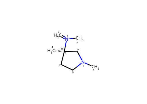 C=[N+](C)[C@]1(C)CCN(C)C1